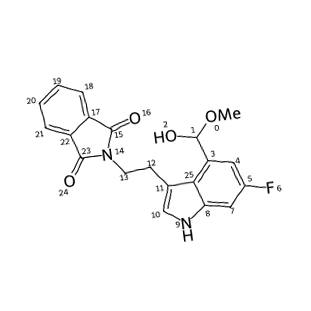 COC(O)c1cc(F)cc2[nH]cc(CCN3C(=O)c4ccccc4C3=O)c12